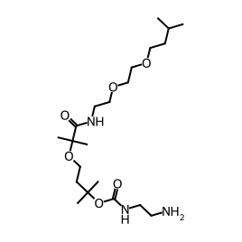 CC(C)CCOCCOCCNC(=O)C(C)(C)OCCC(C)(C)OC(=O)NCCN